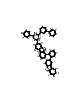 c1ccc(-c2cccc(-c3nc(-c4ccccc4)nc(-c4ccc5c(c4)oc4c(-c6ccccc6-c6ccc7oc8ccccc8c7c6)cccc45)n3)c2)cc1